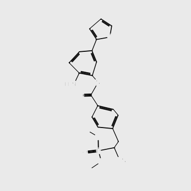 CCOP(=O)(OCC)C(C#N)Cc1ccc(C(=O)Nc2cc(-c3cccs3)ccc2N)cc1